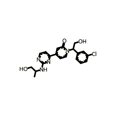 CC(CO)Nc1nccc(-c2ccn(C(CO)c3cccc(Cl)c3)c(=O)c2)n1